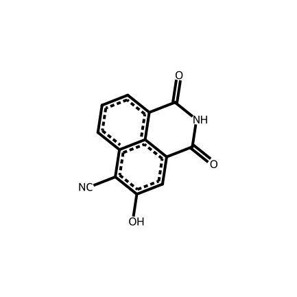 N#Cc1c(O)cc2c3c(cccc13)C(=O)NC2=O